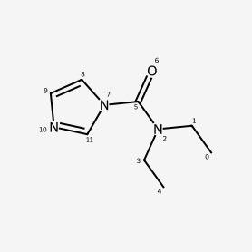 CCN(CC)C(=O)n1ccnc1